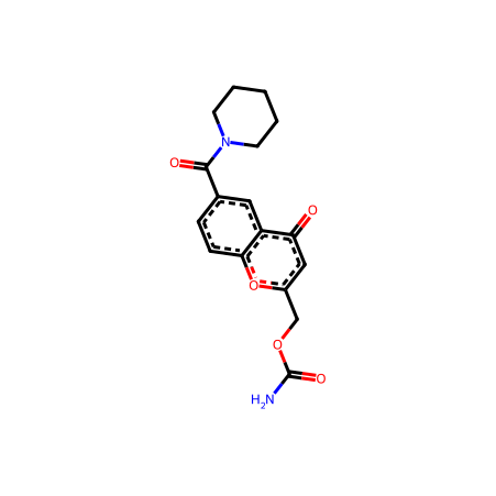 NC(=O)OCc1cc(=O)c2cc(C(=O)N3CCCCC3)ccc2o1